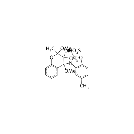 COC1(C)Oc2ccccc2C(OC)(N2c3cc(C)ccc3OC2S(=O)(=O)O)C1(C)O